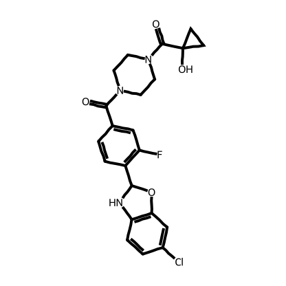 O=C(c1ccc(C2Nc3ccc(Cl)cc3O2)c(F)c1)N1CCN(C(=O)C2(O)CC2)CC1